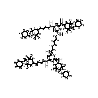 CC1(C)CC(CCCCNc2nc(NCCCCCCNc3nc(NCCCCC4CC(C)(C)N(OC5CCCCC5)C(C)(C)C4)nc(NC4CC(C)(C)N(OC5CCCCC5)C(C)(C)C4)n3)nc(NC3CC(C)(C)N(OC4CCCCC4)C(C)(C)C3)n2)CC(C)(C)N1OC1CCCCC1